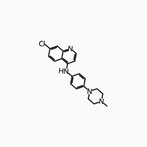 CN1CCN(c2ccc(Nc3ccnc4cc(Cl)ccc34)cc2)CC1